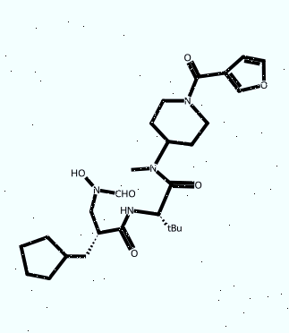 CN(C(=O)[C@@H](NC(=O)[C@H](CC1CCCC1)CN(O)C=O)C(C)(C)C)C1CCN(C(=O)c2ccoc2)CC1